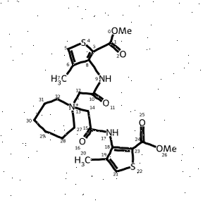 COC(=O)c1scc(C)c1NC(=O)C[N+]1(CC(=O)Nc2c(C)csc2C(=O)OC)CCCCCC1